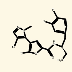 Cn1ncc(Cl)c1-c1cc(C(=O)N[C@H](CN)Cc2ccc(F)c(F)c2)oc1Cl